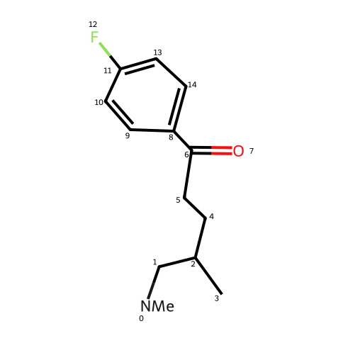 CNCC(C)CCC(=O)c1ccc(F)cc1